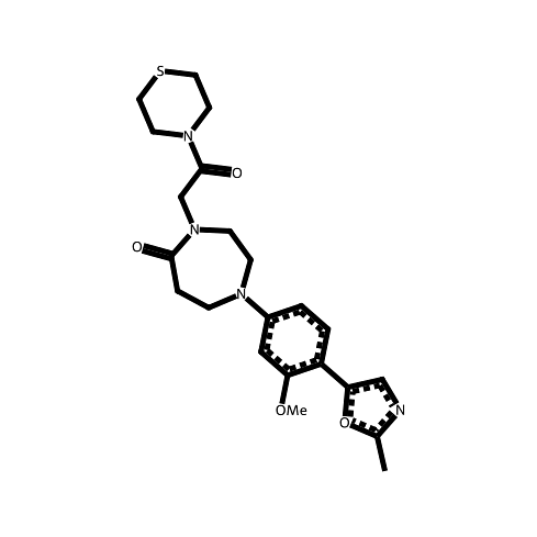 COc1cc(N2CCC(=O)N(CC(=O)N3CCSCC3)CC2)ccc1-c1cnc(C)o1